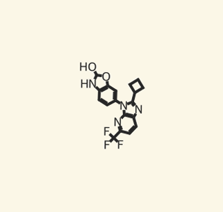 OC1Nc2ccc(-n3c(C4CCC4)nc4ccc(C(F)(F)F)nc43)cc2O1